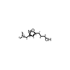 CN(C)Cc1cc(CCCO)on1